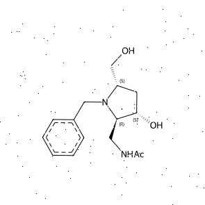 CC(=O)NC[C@@H]1[C@@H](O)C[C@@H](CO)N1Cc1ccccc1